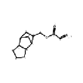 C=CC(=O)OCC1CC2CC1C1CCCC21